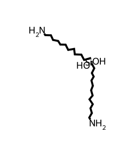 NCCCCCCCCCCCC[Si](O)(O)CCCCCCCCCCCCN